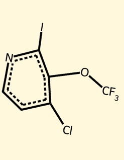 FC(F)(F)Oc1c(Cl)ccnc1I